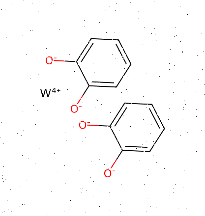 [O-]c1ccccc1[O-].[O-]c1ccccc1[O-].[W+4]